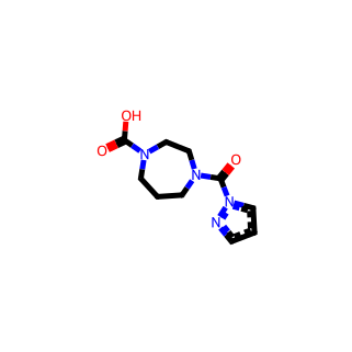 O=C(O)N1CCCN(C(=O)n2cccn2)CC1